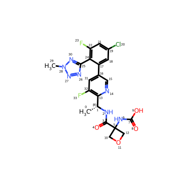 C[C@@H](NC(=O)C1(NC(=O)O)COC1)c1ncc(-c2cc(Cl)cc(F)c2-c2nnn(C)n2)cc1F